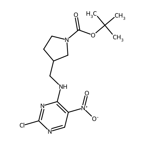 CC(C)(C)OC(=O)N1CCC(CNc2nc(Cl)ncc2[N+](=O)[O-])C1